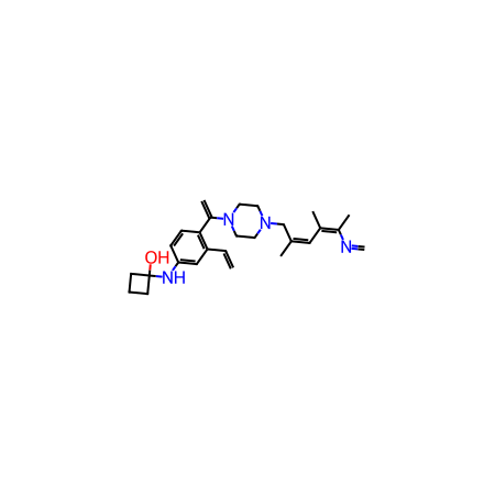 C=Cc1cc(NC2(O)CCC2)ccc1C(=C)N1CCN(C/C(C)=C\C(C)=C(\C)N=C)CC1